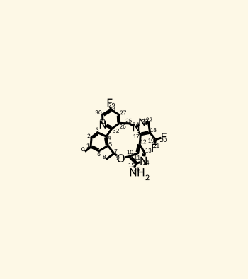 Cc1ccc2c(c1)C(C)Oc1cc(cnc1N)-c1c(C(F)F)cnn1Cc1cc(F)cnc1-2